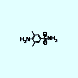 Cc1cc(S(N)(=O)=O)cc(C)c1N